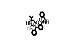 CC(C)[C@]1(C)CC(=O)N(C(c2ccccc2)c2cccc(C(=O)N[C@@H](C)c3ccccc3)c2)C(=N)N1